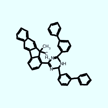 CC1(C)c2cc3ccccc3cc2-c2cccc(C3=NC(c4cccc(-c5ccccc5)c4)NC(c4cccc(-c5ccccc5)c4)=N3)c21